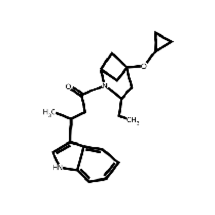 CCC1CC2(OC3CC3)CC(C2)N1C(=O)CC(C)c1c[nH]c2ccccc12